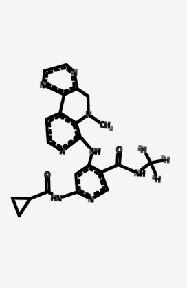 [2H]C([2H])([2H])NC(=O)c1cnc(NC(=O)C2CC2)cc1Nc1nccc2c1N(C)Cc1nccnc1-2